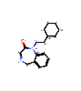 O=C1C=NCc2ccccc2N1CCC1CCCCC1